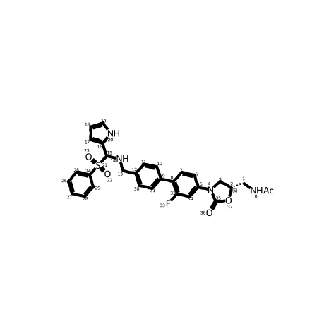 CC(=O)NC[C@H]1CN(c2ccc(-c3ccc(CNC(c4ccc[nH]4)S(=O)(=O)c4ccccc4)cc3)c(F)c2)C(=O)O1